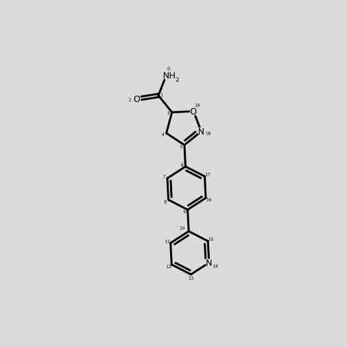 NC(=O)C1CC(c2ccc(-c3cccnc3)cc2)=NO1